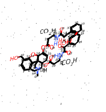 CN1CCC23c4c5ccc(CO)c4OC2C(OC(=O)C[C@H](NC(=O)[C@@H](O)c2ccccc2)C(=O)O)=CC[C@@]3(OC(=O)C[C@H](NC(=O)C(O)c2ccccc2)C(=O)O)[C@H]1C5